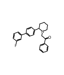 O=C(CN1CCCCC1c1ccc(-c2cccc(F)c2)cc1)c1ccccc1